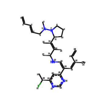 C=C/C=C/CN(C)N1CCCC1/C(C)=C(\C)C(C)N/C=C(/C=C(\C=C)C(C)C)c1cc(C(C)F)ncn1